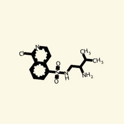 CC(C)C(N)CNS(=O)(=O)c1cccc2c(Cl)nccc12